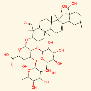 CC1O[C@@H](OC2C(O[C@@H]3OC(CO)[C@H](O)C(O)C3O)[C@H](O[C@H]3CCC4(C)C(CCC5(C)C4CC=C(C4CC(C)(C)CCC4(C)C(=O)O)C5(C)CCO)C3(C)C=O)OC(C(=O)O)[C@H]2O)C(O)C(O)[C@H]1O